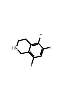 Fc1cc(I)c2c(c1F)CCNC2